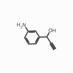 C#CC(O)c1cccc(N)c1